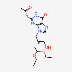 CCOC(C[C@@H](CO)Cn1cnc2c(=O)[nH]c(NC(C)=O)nc21)OCC